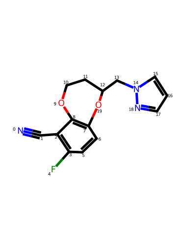 N#Cc1c(F)ccc2c1OCCC(Cn1cccn1)O2